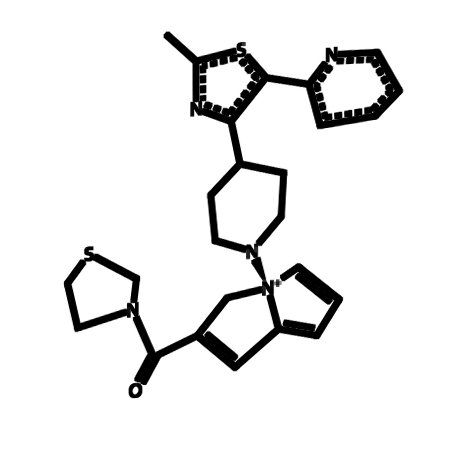 Cc1nc(C2CCN([N@@+]34C=CC=C3C=C(C(=O)N3CCSC3)C4)CC2)c(-c2ccccn2)s1